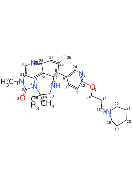 Cn1c(=O)n2c3c4c(c(-c5ccc(OCCCN6CCCCC6)nc5)c(F)cc4ncc31)NCC2(C)C